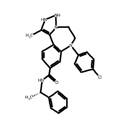 CC1=C2c3ccc(C(=O)N[C@@H](C)c4ccccc4)cc3N(c3ccc(Cl)cc3)CCN2NN1